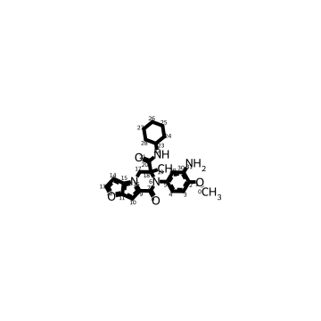 COc1ccc(N2C(=O)c3cc4occc4n3CC2(C)C(=O)NC2CCCCC2)cc1N